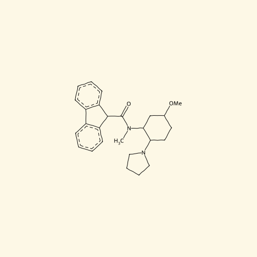 COC1CCC(N2CCCC2)C(N(C)C(=O)C2c3ccccc3-c3ccccc32)C1